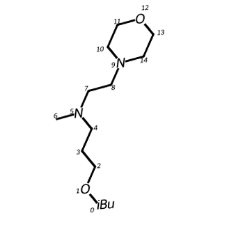 CCC(C)OCCCN(C)CCN1CCOCC1